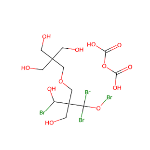 O=C(O)OC(=O)O.OCC(CO)(CO)COCC(CO)(C(O)Br)C(Br)(Br)OBr